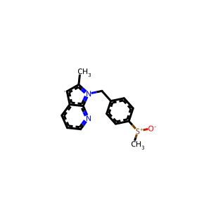 Cc1[c]c2cccnc2n1Cc1ccc([S+](C)[O-])cc1